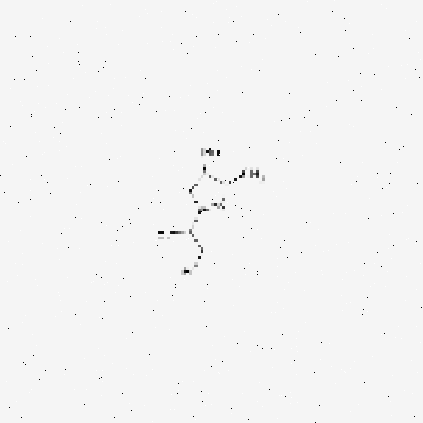 CCC(CC(C)C)C1=NC(C)C(C(C)(C)C)C1